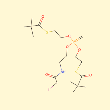 C=P(OCCNC(=O)CI)(OCCSC(=O)C(C)(C)C)OCCSC(=O)C(C)(C)C